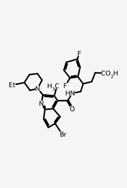 CCC1CCCN(c2nc3ccc(Br)cc3c(C(=O)NCC(CCC(=O)O)c3cc(F)ccc3F)c2C)C1